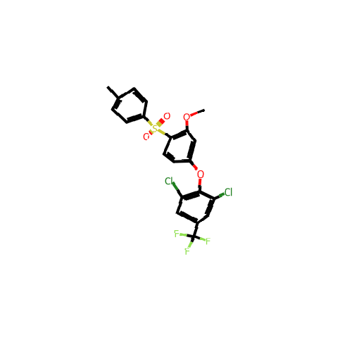 COc1cc(Oc2c(Cl)cc(C(F)(F)F)cc2Cl)ccc1S(=O)(=O)c1ccc(C)cc1